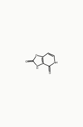 O=c1[nH]c2c(=O)[nH]ccc2o1